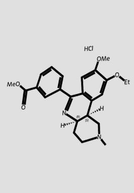 CCOc1cc2c(cc1OC)C(c1cccc(C(=O)OC)c1)=N[C@@H]1CCN(C)C[C@H]21.Cl